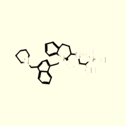 CN[C@@H](C)C(=O)NC1CCc2ccccc2N(Cc2ccc(CN3CCCCC3)c3ccccc23)C1=O